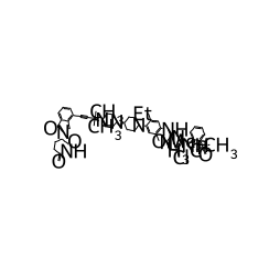 CCc1cc(Nc2ncc(Cl)c(Nc3ccccc3P(C)(C)=O)n2)c(OC)cc1N1CCC(N2CCN(C(C)(C)C#Cc3cccc4c3CN(C3CCC(=O)NC3=O)C4=O)CC2)CC1